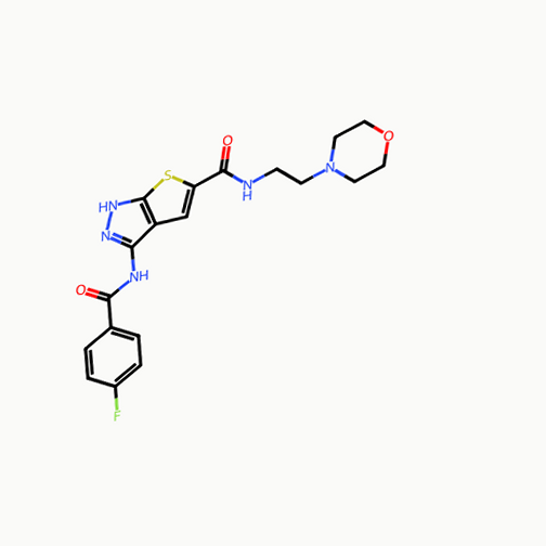 O=C(Nc1n[nH]c2sc(C(=O)NCCN3CCOCC3)cc12)c1ccc(F)cc1